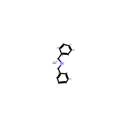 [Li+].c1ccc(C[N-]Cc2ccccc2)cc1